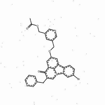 CC(=O)OCc1cncc(COc2cc3c(=O)c(Cc4cccnc4)cn4c5cc(Br)ccc5c(c2)c34)c1